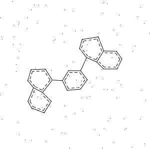 c1cc(-c2cccc3ccccc23)cc(-c2cccc3ccccc23)c1